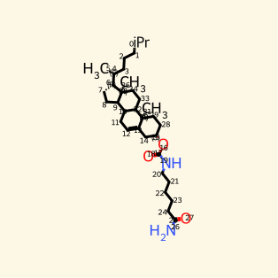 CC(C)CCC[C@H](C)[C@H]1CCC2C3CC=C4C[C@@H](OC(=O)NCCCCCC(N)=O)CC[C@]4(C)C3CC[C@@]21C